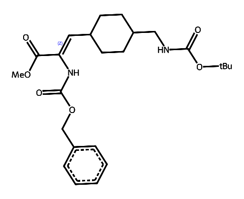 COC(=O)/C(=C/C1CCC(CNC(=O)OC(C)(C)C)CC1)NC(=O)OCc1ccccc1